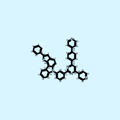 c1ccc(-c2cc3ccc4c(c5ccccc5n4-c4cccc(-c5nc(-c6ccncc6)cc(-c6ccc(-c7ccncc7)cc6)n5)c4)c3s2)cc1